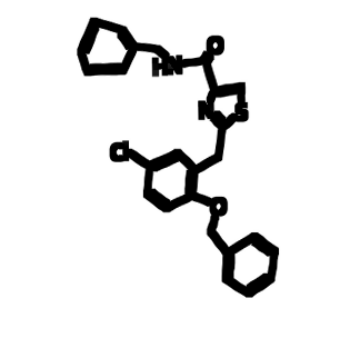 O=C(NCc1ccccc1)c1csc(Cc2cc(Cl)ccc2OCc2ccccc2)n1